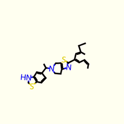 C\C=C/C=C(\C=C(/C)CC)c1nc2c(s1)CN(C(C)c1ccc3c(c1)NCS3)CC2